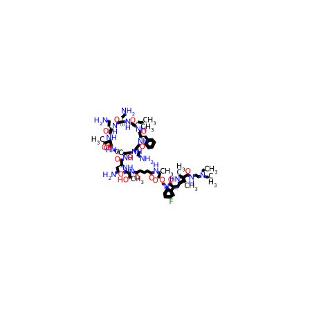 CCN(CC)CCNC(=O)c1c(C)[nH]c(/C=C2\C(=O)N(COC(=O)C(C)NC(=O)CCCC(=O)N[C@H](C(=O)N[C@@H](CCN)C(=O)N[C@H]3CCNC(=O)[C@H]([C@@H](C)O)NC(=O)[C@H](CCN)NC(=O)[C@H](CCN)NC(=O)[C@H](CC(C)C)NC(=O)[C@@H](Cc4ccccc4)NC(=O)[C@H](CCN)NC3=O)[C@@H](C)O)c3ccc(F)cc32)c1C